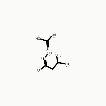 CC(CC(C)C)=NO.O=C(O)O